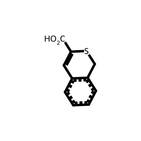 O=C(O)C1=Cc2ccccc2CS1